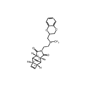 CN(CCN1C(=O)[C@@H]2C3C=CC([C@H]4C=C[C@@H]34)[C@@H]2C1=O)CC1COc2ccccc2O1